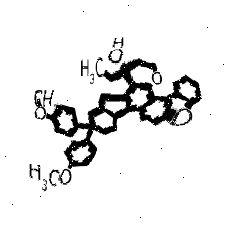 CCC1(O)C=COc2c1c1c(c3ccc4oc5ccccc5c4c23)=C2C=CC(c3ccc(OC)cc3)(c3ccc(OC)cc3)C=C2C=1